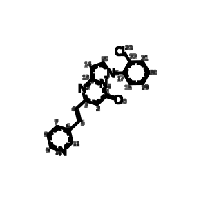 O=c1cc(/C=C/c2cccnc2)nc2ccn(-c3ccccc3Cl)n12